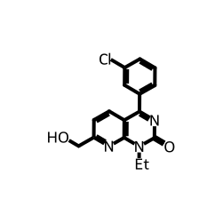 CCn1c(=O)nc(-c2cccc(Cl)c2)c2ccc(CO)nc21